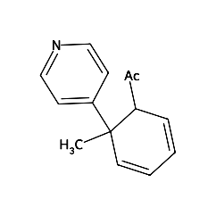 CC(=O)C1C=CC=CC1(C)c1ccncc1